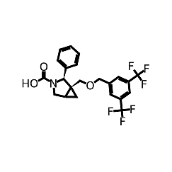 O=C(O)N1CC2C[C@@]2(COCc2cc(C(F)(F)F)cc(C(F)(F)F)c2)[C@@H]1c1ccccc1